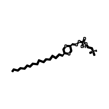 CCCCCCCCCCCCCCCCC[C@H]1CO[C@@H](COOP(=O)(O)OCC[N+](C)(C)C)CO1